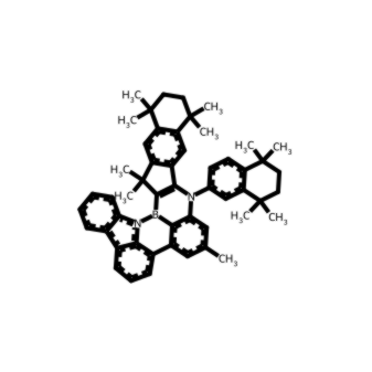 Cc1cc2c3c(c1)N(c1ccc4c(c1)C(C)(C)CCC4(C)C)C1=C(B3n3c4ccccc4c4cccc-2c43)C(C)(C)c2cc3c(cc21)C(C)(C)CCC3(C)C